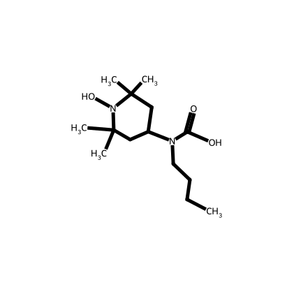 CCCCN(C(=O)O)C1CC(C)(C)N(O)C(C)(C)C1